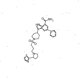 NC(=O)c1cc(-c2ccccc2)cc2c(C3CCN(S(=O)(=O)CCCN4CCCC4c4nccs4)CC3)c[nH]c12